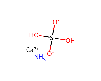 N.[Ca+2].[O-][Si]([O-])(O)O